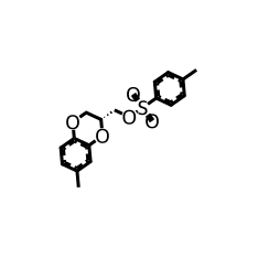 Cc1ccc(S(=O)(=O)OC[C@H]2COc3ccc(C)cc3O2)cc1